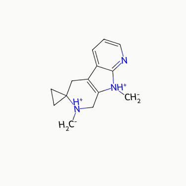 [CH2-][NH+]1C2=C(CC3(CC3)[NH+]([CH2-])C2)c2cccnc21